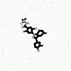 CS(=O)(=O)NC(=O)c1cc(Cl)c(-n2nc(-c3ccc(Cl)c(F)c3)c3cc(F)ccc32)cc1F